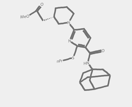 CCCSc1nc(N2CCC[C@@H](CC(=O)OC)C2)ccc1C(=O)NC12CC3CC(CC(C3)C1)C2